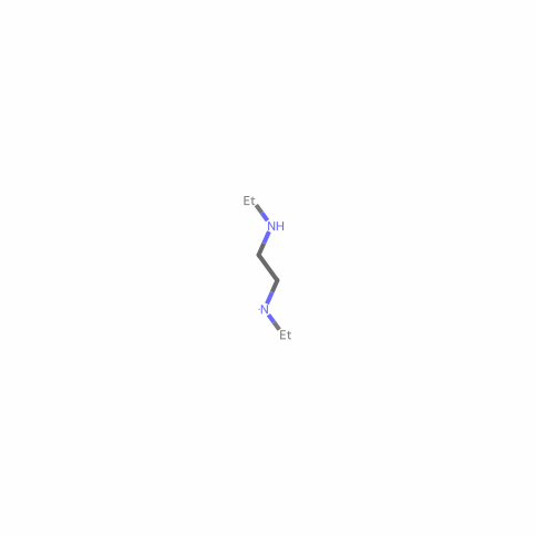 CC[N]CCNCC